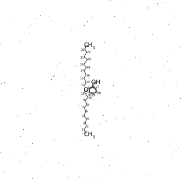 CCCCCCCCCCCCOCCCCCCCCCCCC.Oc1ccccc1